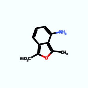 CCOC(=O)c1oc(C)c2c(N)cccc12